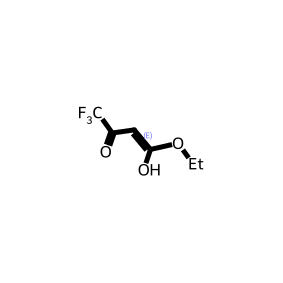 CCO/C(O)=C/C(=O)C(F)(F)F